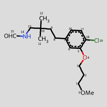 COCCCOc1cc(CCC(C)(C)CNC=O)ccc1Cl